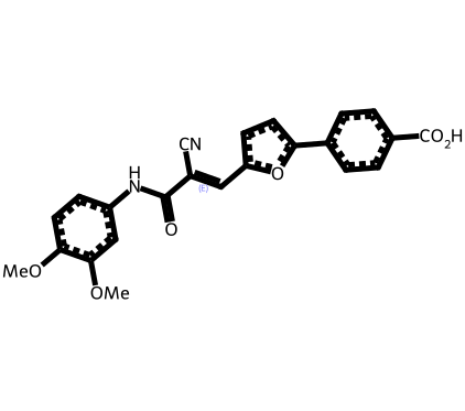 COc1ccc(NC(=O)/C(C#N)=C/c2ccc(-c3ccc(C(=O)O)cc3)o2)cc1OC